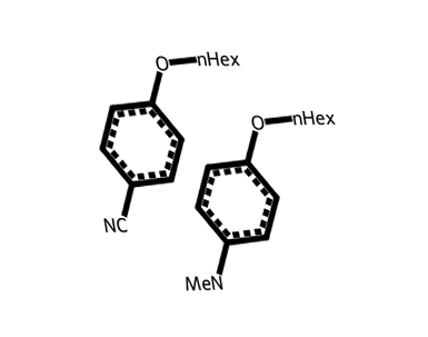 CCCCCCOc1ccc(C#N)cc1.CCCCCCOc1ccc(NC)cc1